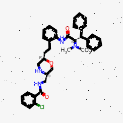 CN(C(=O)O)[C@H](C(=O)Nc1ccccc1CC[C@@H]1CN[C@H](CNC(=O)c2ccccc2Cl)CO1)C(c1ccccc1)c1ccccc1